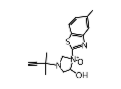 C#CC(C)(C)N1CC(O)[N+]([O-])(c2nc3cc(C)ccc3s2)C1